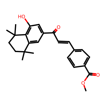 COC(=O)c1ccc(C=CC(=O)c2cc(O)c3c(c2)C(C)(C)CCC3(C)C)cc1